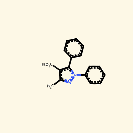 CCOC(=O)c1c(C)nn(-c2ccccc2)c1-c1ccccc1